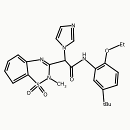 CCOc1ccc(C(C)(C)C)cc1NC(=O)C(C1=Nc2ccccc2S(=O)(=O)N1C)n1ccnc1